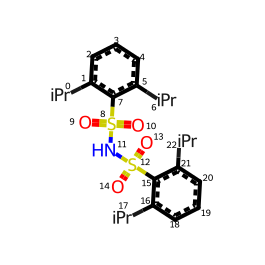 CC(C)c1cccc(C(C)C)c1S(=O)(=O)NS(=O)(=O)c1c(C(C)C)cccc1C(C)C